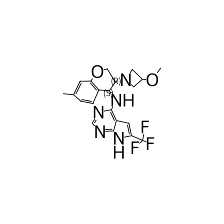 COC1CN([C@H]2COc3cc(C)ccc3[C@@H]2Nc2ncnc3[nH]c(C(F)(F)F)cc23)C1